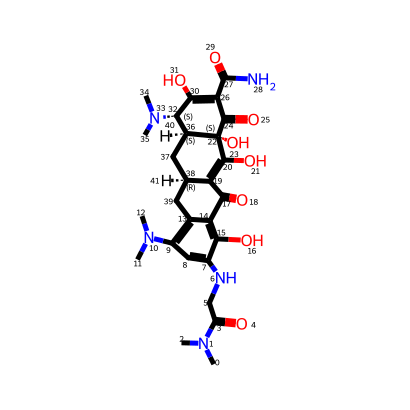 CN(C)C(=O)CNc1cc(N(C)C)c2c(c1O)C(=O)C1=C(O)[C@]3(O)C(=O)C(C(N)=O)=C(O)[C@@H](N(C)C)[C@@H]3C[C@@H]1C2